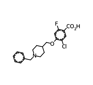 O=C(O)c1cc(Cl)c(OCC2CCN(Cc3ccccc3)CC2)cc1F